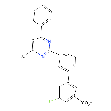 O=C(O)c1cc(F)cc(-c2cccc(-c3nc(-c4ccccc4)cc(C(F)(F)F)n3)c2)c1